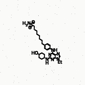 CCn1cnc2c(Nc3ccc(CCCCCCCCS(N)(=O)=O)cc3)nc(N[C@H]3CC[C@H](O)CC3)nc21